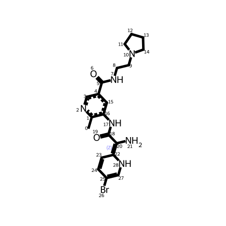 Cc1ncc(C(=O)NCCN2CCCC2)cc1NC(=O)/C(N)=C1\C=CC(Br)=CN1